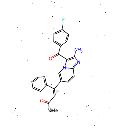 CNC(=O)/C=C(\c1ccccc1)c1ccc2nc(N)c(C(=O)c3ccc(F)cc3)n2c1